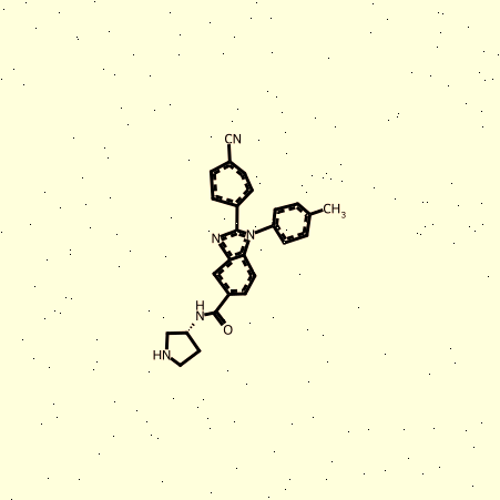 Cc1ccc(-n2c(-c3ccc(C#N)cc3)nc3cc(C(=O)N[C@@H]4CCNC4)ccc32)cc1